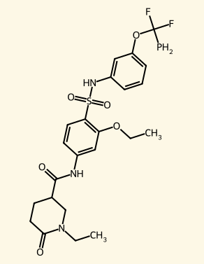 CCOc1cc(NC(=O)C2CCC(=O)N(CC)C2)ccc1S(=O)(=O)Nc1cccc(OC(F)(F)P)c1